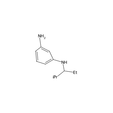 CCC(Nc1cccc(N)c1)C(C)C